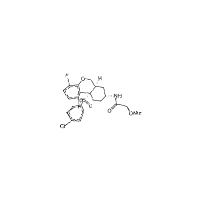 COCC(=O)N[C@@H]1CC[C@@]2(S(=O)(=O)c3ccc(Cl)cc3)c3c(F)ccc(F)c3OC[C@H]2C1